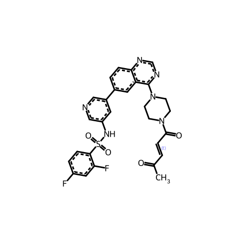 CC(=O)/C=C/C(=O)N1CCN(c2ncnc3ccc(-c4cncc(NS(=O)(=O)c5ccc(F)cc5F)c4)cc23)CC1